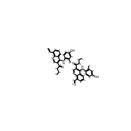 C=Cc1cccc2c(Nc3ccc(O)cc3C)c(C(=O)CCC)cnc12.CCCC(=O)c1cnc2c(C=O)cccc2c1Nc1ccc(O)cc1C